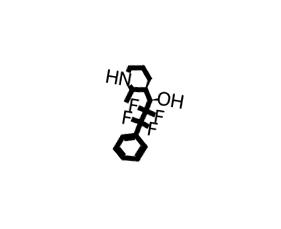 CC1NCCC[C@H]1[C@H](O)C(F)(F)C(F)(F)c1ccccc1